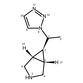 CC([C@H]1[C@@H]2CNC[C@@H]21)n1ccnn1